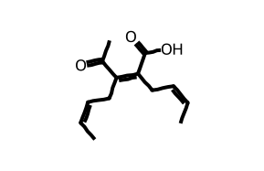 C/C=C\C/C(C(C)=O)=C(\C/C=C\C)C(=O)O